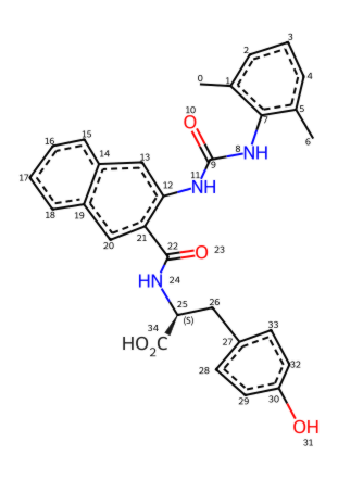 Cc1cccc(C)c1NC(=O)Nc1cc2ccccc2cc1C(=O)N[C@@H](Cc1ccc(O)cc1)C(=O)O